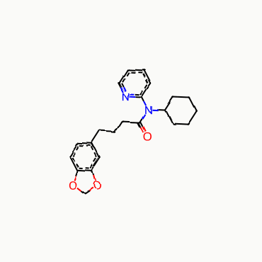 O=C(CCCc1ccc2c(c1)OCO2)N(c1ccccn1)C1CCCCC1